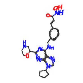 O=C(/C=C/c1cccc(CNc2nc(C3CNCCO3)nc3c2ncn3C2CCCC2)c1)NO